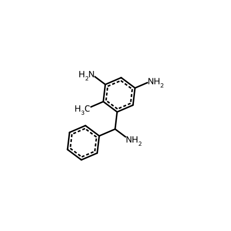 Cc1c(N)cc(N)cc1C(N)c1ccccc1